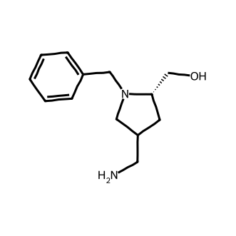 NCC1C[C@@H](CO)N(Cc2ccccc2)C1